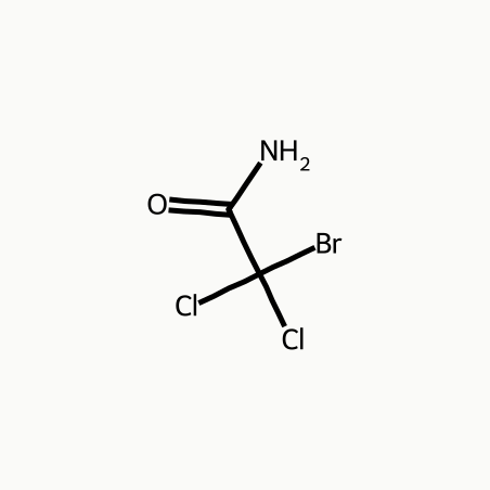 NC(=O)C(Cl)(Cl)Br